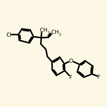 C=CC(C)(CCCc1ccc(F)c(Oc2ccc(F)cc2)c1)c1ccc(Cl)cc1